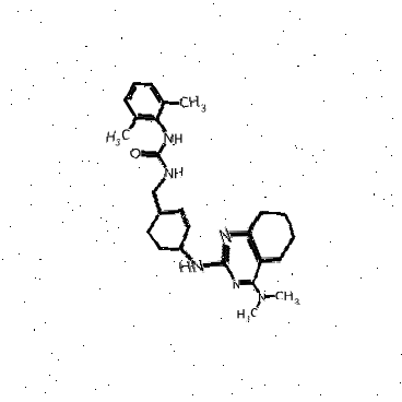 Cc1cccc(C)c1NC(=O)NCC1CCC(Nc2nc3c(c(N(C)C)n2)CCCC3)CC1